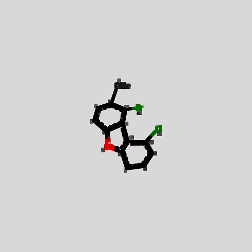 COc1ccc2oc3cccc(Cl)c3c2c1Br